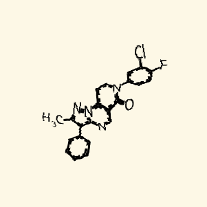 Cc1nn2c(ncc3c(=O)n(-c4ccc(F)c(Cl)c4)ccc32)c1-c1ccccc1